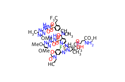 C#CCN1C(=O)COc2cc(F)c(/N=c3\snc4n3CC(C)(C)C4)cc21.COc1cc(OC)nc(NC(=O)NS(=O)(=O)c2ncccc2C(=O)N(C)C)n1.COc1nc(C)nc(NC(=O)NS(=O)(=O)c2ccccc2CCC(F)(F)F)n1.CP(=O)(O)CCC(N)C(=O)O